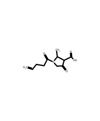 C=CCCC(=O)N1CC(=O)C(C(=O)O)C1C